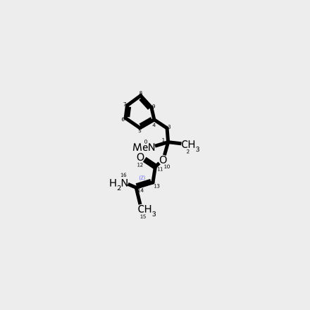 CNC(C)(Cc1ccccc1)OC(=O)/C=C(/C)N